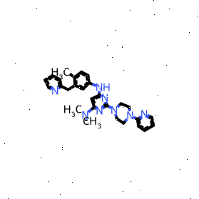 Cc1ccc(Nc2cc(N(C)C)nc(N3CCN(c4ccccn4)CC3)n2)cc1Cc1ccccn1